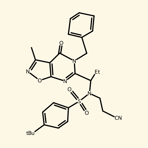 CCC(c1nc2onc(C)c2c(=O)n1Cc1ccccc1)N(CCC#N)S(=O)(=O)c1ccc(C(C)(C)C)cc1